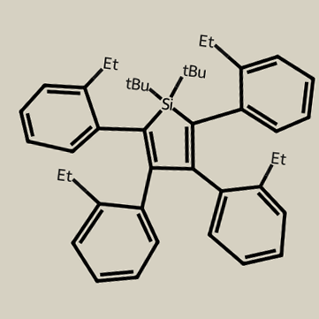 CCc1ccccc1C1=C(c2ccccc2CC)[Si](C(C)(C)C)(C(C)(C)C)C(c2ccccc2CC)=C1c1ccccc1CC